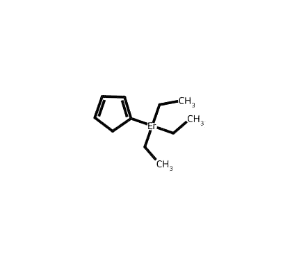 C[CH2][Er]([CH2]C)([CH2]C)[C]1=CC=CC1